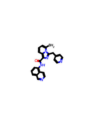 Bc1cccc2c(C(=O)Nc3cccc4cnccc34)nc(Cc3ccncc3)n12